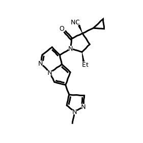 CC[C@@H]1C[C@@](C#N)(C2CC2)C(=O)N1c1ccnn2cc(-c3cnn(C)c3)cc12